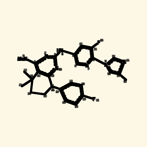 CNc1nc(Nc2cnc(-n3cnc(C)c3)c(F)c2)nc2c1C(C)(C)CCN2c1ccc(F)cc1